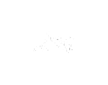 Cc1c(C#N)c(C)c(C#N)c(-n2c3ccc(C(C)(C)C)cc3c3cc(C(C)(C)CC4=Cc5c(c6cc(-c7ccc8c(c7)C7C=CC=CC7N8c7c(C#N)cccc7C#N)ccc6n5-c5ccccc5)CC4)ccc32)c1C#N